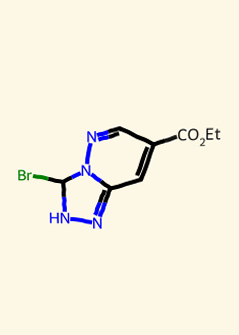 CCOC(=O)C1=CC2=NNC(Br)N2N=C1